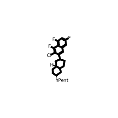 CCCCC[C@@H]1CC[C@@H]2CC(c3cc4cc(F)cc(F)c4c(F)c3Cl)CCC2C1